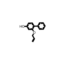 C=CCOc1cc(O)ccc1-c1ccccc1